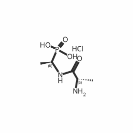 C[C@H](N)C(=O)N[C@@H](C)P(=O)(O)O.Cl